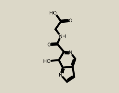 O=C(O)CNC(=O)C1=NC=C2C=CN=C2C1O